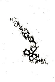 C=CC(=O)N1CC(S(=O)(=O)c2ccc(N3CC(CN4CCC(C(C#N)(c5cccc(F)c5)C5CCCC5OC(=O)NC)CC4)C3)cc2)C1